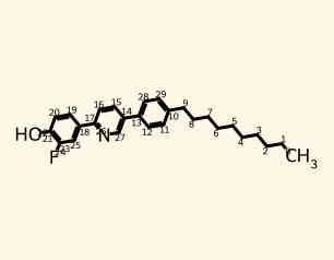 CCCCCCCCCCc1ccc(-c2ccc(-c3ccc(O)c(F)c3)nc2)cc1